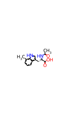 CC(=O)N[C@@H](Cc1c[nH]c2c(C)cccc12)C(=O)O